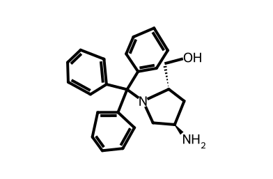 N[C@@H]1C[C@@H](CO)N(C(c2ccccc2)(c2ccccc2)c2ccccc2)C1